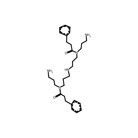 NCCCN(CCCNCCCN(CCCN)C(=O)CCc1ccccc1)C(=O)CCc1ccccc1